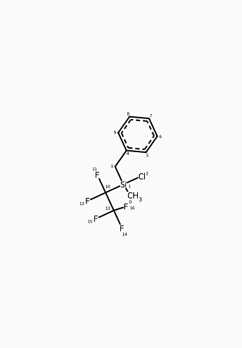 C[Si](Cl)(Cc1ccccc1)C(F)(F)C(F)(F)F